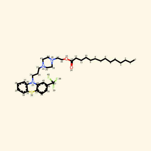 CCCCCCCCCCCCCC(=O)OCCN1CCN(CCCN2c3ccccc3Sc3ccc(C(F)(F)F)cc32)CC1